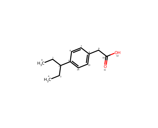 CCC(CC)c1ccc(CC(=O)O)cc1